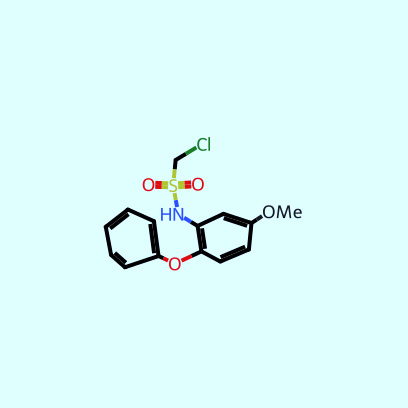 COc1ccc(Oc2ccccc2)c(NS(=O)(=O)CCl)c1